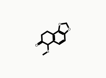 CSC1C(=O)CCc2c1ccc1c2OCO1